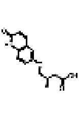 CC(COc1ccc2[nH]c(=O)ccc2c1)CC(=O)O